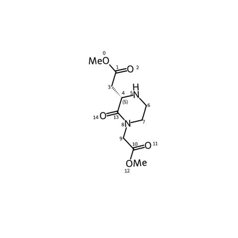 COC(=O)C[C@@H]1NCCN(CC(=O)OC)C1=O